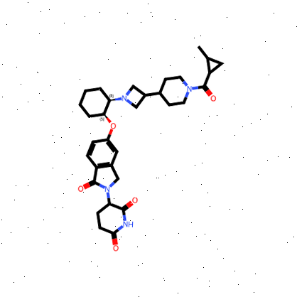 CC1CC1C(=O)N1CCC(C2CN([C@@H]3CCCC[C@@H]3Oc3ccc4c(c3)CN(C3CCC(=O)NC3=O)C4=O)C2)CC1